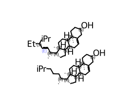 CC(C)CCC[C@@H](C)[C@H]1CC[C@H]2[C@@H]3CC=C4C[C@@H](O)CC[C@]4(C)[C@H]3CC[C@]12C.CC[C@H](/C=C/[C@@H](C)[C@H]1CC[C@H]2[C@@H]3CC=C4C[C@@H](O)CC[C@]4(C)[C@H]3CC[C@]12C)C(C)C